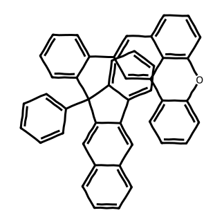 c1ccc(C2(c3ccccc3-c3cc4c5c(cccc5c3)Oc3ccccc3-4)c3ccccc3-c3cc4ccccc4cc32)cc1